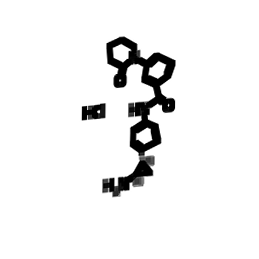 Cl.N[C@@H]1C[C@H]1c1ccc(NC(=O)c2cccc(N3CCCCC3=O)c2)cc1